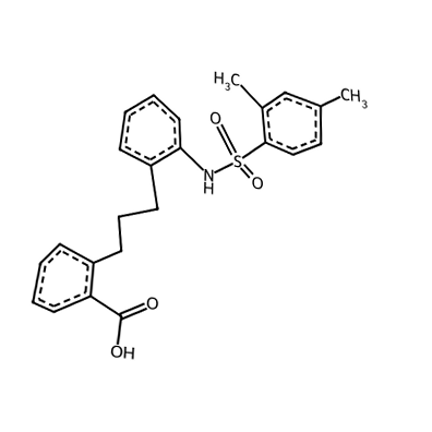 Cc1ccc(S(=O)(=O)Nc2ccccc2CCCc2ccccc2C(=O)O)c(C)c1